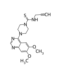 C#CCNC(=S)N1CCN(c2ncnc3cc(OC)c(OC)cc23)CC1